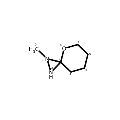 CN1NC12CCCCO2